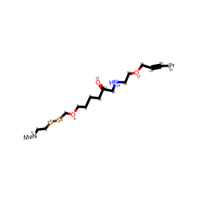 CNCCSSCOCCCCC(=O)CNCCOCC#CC(C)C